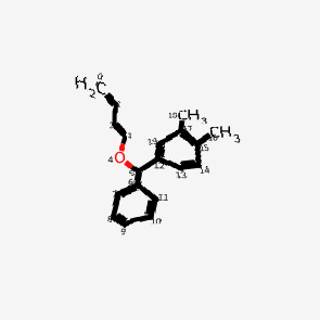 C=CC=COC(c1ccccc1)c1ccc(C)c(C)c1